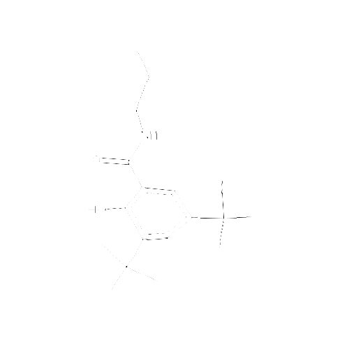 CCCNC(=O)c1cc(C(C)(C)C)cc(C(C)(C)C)c1O